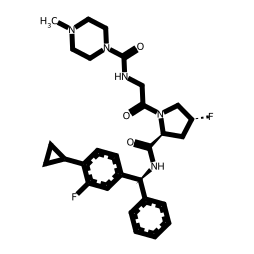 CN1CCN(C(=O)NCC(=O)N2C[C@H](F)C[C@H]2C(=O)N[C@@H](c2ccccc2)c2ccc(C3CC3)c(F)c2)CC1